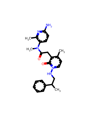 Cc1ccn(NCC(C)c2ccccc2)c(=O)c1CC(=O)N(C)c1ccc(N)nc1C